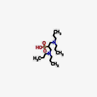 CCCN(CCC)CC(CN(CCC)CCC)S(=O)(=O)O